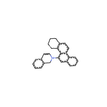 C1=CN(c2cc3ccccc3c3ccc4c(c23)CCCC4)Cc2ccccc21